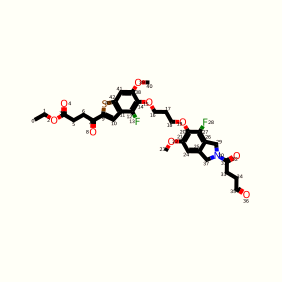 CCOC(=O)CCC(=O)c1cc2c(F)c(OCCCOc3c(OC)cc4c(c3F)CN(C(=O)CCC=O)C4)c(OC)cc2s1